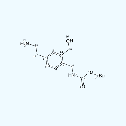 CC(C)(C)OC(=O)NCc1ccc(CCN)cc1CO